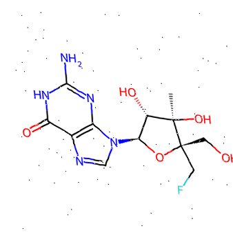 C[C@@]1(O)[C@@H](O)[C@H](n2cnc3c(=O)[nH]c(N)nc32)O[C@@]1(CO)CF